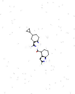 Nc1c2c(nn1C(=O)C1CCCc3[nH]c(Cl)cc31)CCC(C1CC1)C2